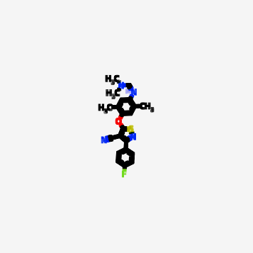 Cc1cc(Oc2snc(-c3ccc(F)cc3)c2C#N)c(C)cc1/N=C\N(C)C